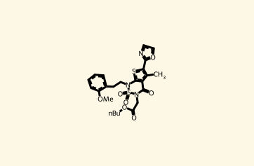 CCCCOC(=O)CN1C(=O)c2c(sc(-c3ncco3)c2C)N(CCc2ccccc2OC)S1(=O)=O